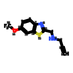 C#CCNCc1nc2ccc(OC(F)(F)F)cc2s1